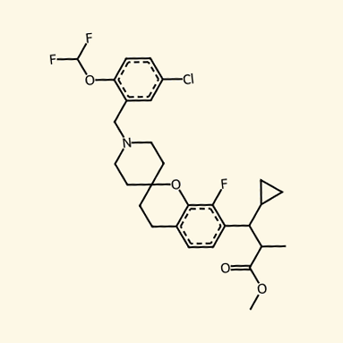 COC(=O)C(C)C(c1ccc2c(c1F)OC1(CC2)CCN(Cc2cc(Cl)ccc2OC(F)F)CC1)C1CC1